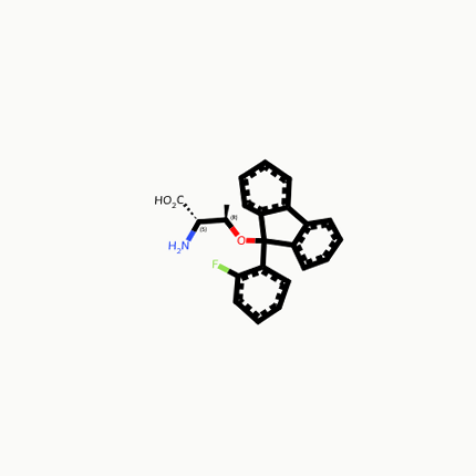 C[C@@H](OC1(c2ccccc2F)c2ccccc2-c2ccccc21)[C@H](N)C(=O)O